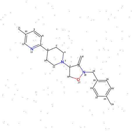 C=C1C(N2CCC(c3ccc(C)cn3)CC2)CON1Cc1ccc(C)cc1